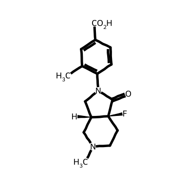 Cc1cc(C(=O)O)ccc1N1C[C@H]2CN(C)CC[C@@]2(F)C1=O